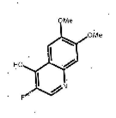 COc1cc2ncc(F)c(O)c2cc1OC